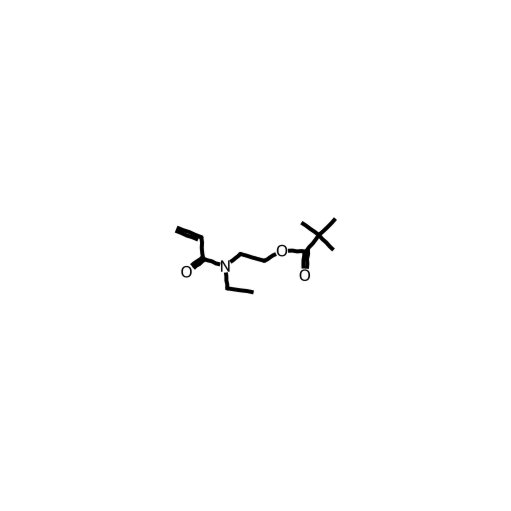 C=CC(=O)N(CC)CCOC(=O)C(C)(C)C